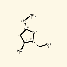 NN[C@H]1C[C@H](O)[C@@H](CO)O1